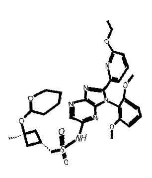 CCOc1cccc(-c2nc3ncc(NS(=O)(=O)C[C@H]4C[C@](C)(OC5CCCCO5)C4)nc3n2-c2c(OC)cccc2OC)n1